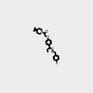 CC/C(=N\OCc1ccc(F)cc1)c1ccc(OCC(=O)N2CCC3(CC2)CC3)cc1